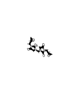 O=C1CN(CN2CC(=O)N(CC3CO3)C2=O)C(=O)N1CC1CO1